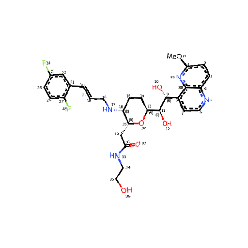 COc1ccc2nccc([C@@H](O)[C@@H](O)[C@@H]3CC[C@@H](NC/C=C/c4cc(F)ccc4F)[C@@H](CC(=O)NCCO)O3)c2n1